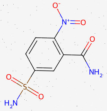 NC(=O)c1cc(S(N)(=O)=O)ccc1[N+](=O)[O-]